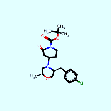 C[C@H]1CN(C2CCN(C(=O)OC(C)(C)C)C(=O)C2)[C@@H](Cc2ccc(Cl)cc2)CO1